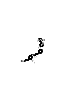 O=C(CCc1cccc(Oc2ccnc(C3=NCCN3)c2)c1)Nc1ccc(CCCO)c(C(F)(F)F)c1